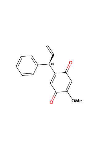 C=C[C@@H](C1=CC(=O)C(OC)=CC1=O)c1ccccc1